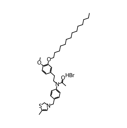 Br.CCCCCCCCCCCCCCOc1cc(CCN(C(C)=O)c2ccc(CN3C=C(C)SC3)cc2)ccc1OC